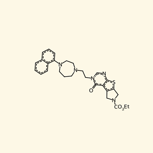 CCOC(=O)N1Cc2sc3ncn(CCN4CCCN(c5cccc6ccccc56)CC4)c(=O)c3c2C1